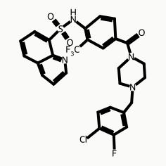 O=C(c1ccc(NS(=O)(=O)c2cccc3cccnc23)c(C(F)(F)F)c1)N1CCN(Cc2ccc(Cl)c(F)c2)CC1